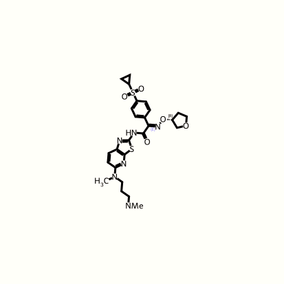 CNCCCN(C)c1ccc2nc(NC(=O)/C(=N/O[C@@H]3CCOC3)c3ccc(S(=O)(=O)C4CC4)cc3)sc2n1